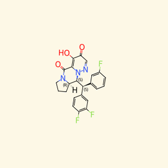 O=C1c2c(O)c(=O)cnn2[C@@H]([C@@H](c2cccc(F)c2)c2ccc(F)c(F)c2)[C@H]2CCCN12